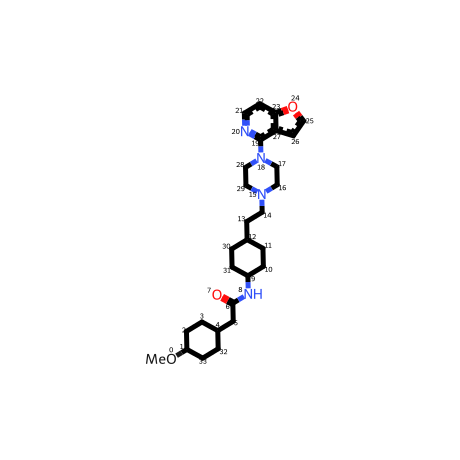 COC1CCC(CC(=O)NC2CCC(CCN3CCN(c4nccc5occc45)CC3)CC2)CC1